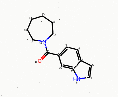 O=C(c1ccc2cc[nH]c2c1)N1CCCCCC1